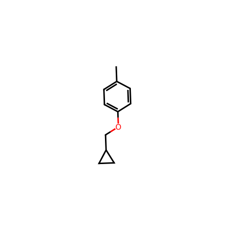 Cc1ccc(OCC2CC2)cc1